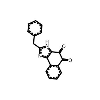 O=C1C(=O)c2[nH]c(Cc3ccccc3)nc2-c2ccccc21